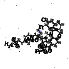 CC/C=C/[C@@](CN1CCN(CCS(C)(=O)=O)CC1)(OC)[C@@H]1CC[C@H]1CN1C[C@@]2(CCCc3cc(Cl)ccc32)COc2ccc(C(=O)NS(=O)(=O)C(C)C)cc21